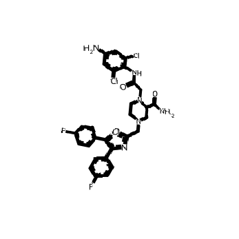 NC(=O)C1CN(Cc2nc(-c3ccc(F)cc3)c(-c3ccc(F)cc3)o2)CCN1CC(=O)Nc1c(Cl)cc(N)cc1Cl